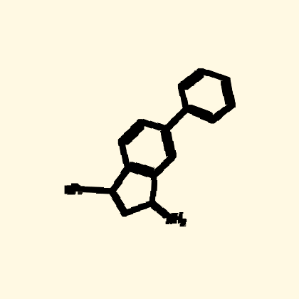 CCCC1CC(N)c2cc(-c3ccccc3)ccc21